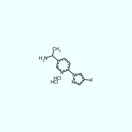 CC(N)c1ccc(-n2cc(F)cn2)nc1.Cl.Cl